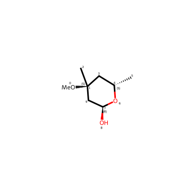 CO[C@@]1(C)C[C@H](C)O[C@@H](O)C1